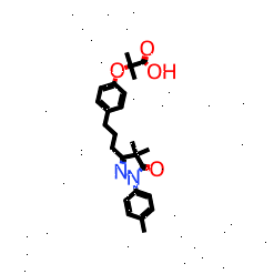 Cc1ccc(N2N=C(CCCc3ccc(OC(C)(C)C(=O)O)cc3)C(C)(C)C2=O)cc1